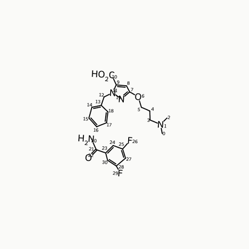 CN(C)CCCOc1cc(C(=O)O)n(Cc2ccccc2)n1.NC(=O)c1cc(F)cc(F)c1